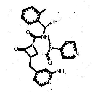 CCC[C@@H](NC(=O)N1C(=O)[C@H](Cc2ccnc(N)c2)[C@H]1C(=O)N(C)c1ccncc1)c1ccccc1C